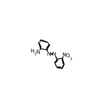 Nc1ccccc1/N=N/c1ccccc1[N+](=O)[O-]